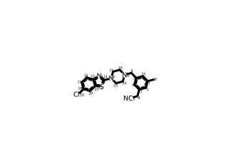 Cc1cc(CC#N)cc(CN2CCN(c3nc4ccc(Cl)cc4s3)CC2)c1